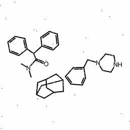 C1C2CC3CC1CC(C2)C3.CN(C)C(=O)C(c1ccccc1)c1ccccc1.c1ccc(CN2CCNCC2)cc1